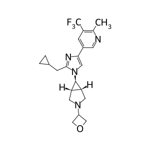 Cc1ncc(-c2cn([C@H]3[C@@H]4CN(C5COC5)C[C@@H]43)c(CC3CC3)n2)cc1C(F)(F)F